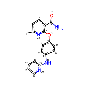 Cc1ccc(C(N)=O)c(Oc2ccc(Nc3ccccn3)cc2)n1